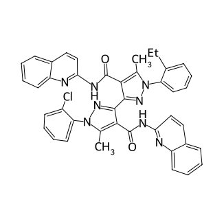 CCc1ccccc1-n1nc(-c2nn(-c3ccccc3Cl)c(C)c2C(=O)Nc2ccc3ccccc3n2)c(C(=O)Nc2ccc3ccccc3n2)c1C